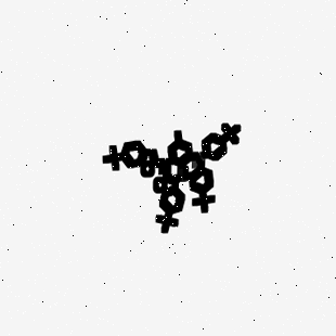 Cc1cc2c3c(c1)N(c1cc4ccc(C(C)(C)C)cc4o1)c1oc4cc(C(C)(C)C)ccc4c1B3c1cc(C(C)(C)C)ccc1N2c1ccc(C(C)(C)C)cc1